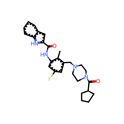 Cc1c(CN2CCN(C(=O)C3CCCC3)CC2)cc(F)cc1NC(=O)c1cc2ccccc2[nH]1